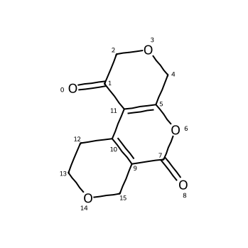 O=C1COCc2oc(=O)c3c(c21)CCOC3